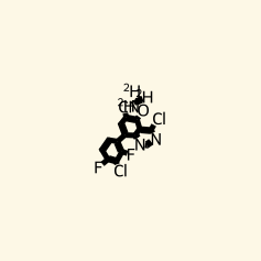 [2H]C([2H])([2H])Oc1c(C#N)cc(-c2ccc(F)c(Cl)c2F)c2ncnc(Cl)c12